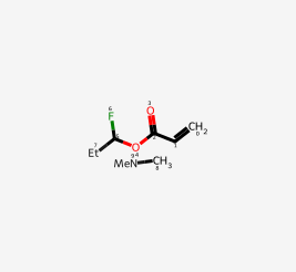 C=CC(=O)OC(F)CC.CNC